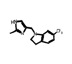 Cc1nc(CN2CCc3ccc(C(F)(F)F)cc32)c[nH]1